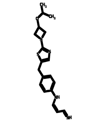 CC(C)OC1CN(c2ncc(Cc3ccc(N/C=C\C=N)cc3)s2)C1